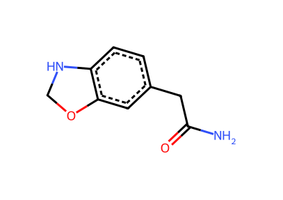 NC(=O)Cc1ccc2c(c1)OCN2